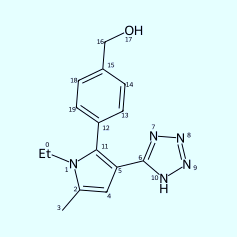 CCn1c(C)cc(-c2nnn[nH]2)c1-c1ccc(CO)cc1